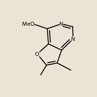 COc1ncnc2c(C)c(C)oc12